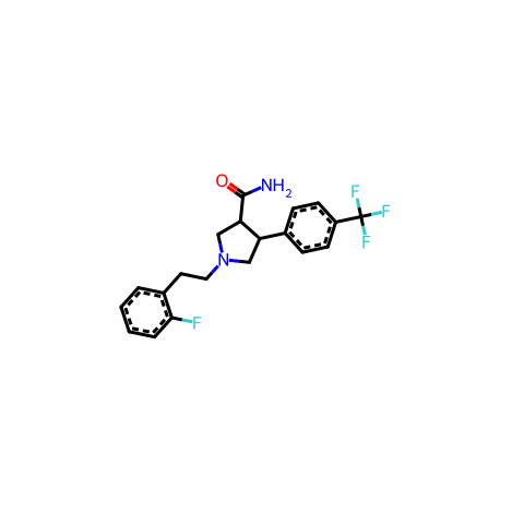 NC(=O)C1CN(CCc2ccccc2F)CC1c1ccc(C(F)(F)F)cc1